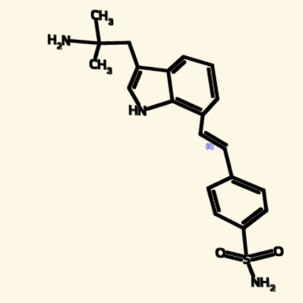 CC(C)(N)Cc1c[nH]c2c(/C=C/c3ccc(S(N)(=O)=O)cc3)cccc12